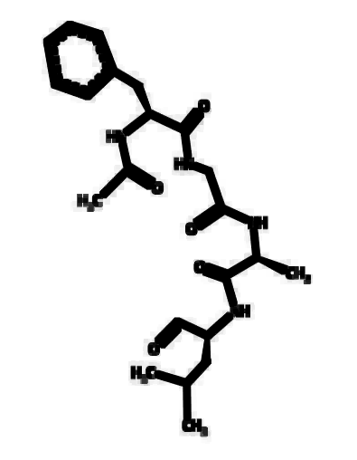 CC(=O)N[C@@H](Cc1ccccc1)C(=O)NCC(=O)N[C@@H](C)C(=O)N[C@H](C=O)CC(C)C